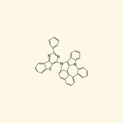 c1ccc(-c2nc(-n3c4ccc5cccc6c7ccccc7n7c8ccccc8c3c7c4c56)c3sc4ccccc4c3n2)cc1